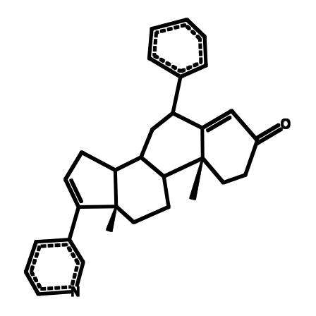 C[C@]12CCC(=O)C=C1C(c1ccccc1)CC1C2CC[C@]2(C)C(c3cccnc3)=CCC12